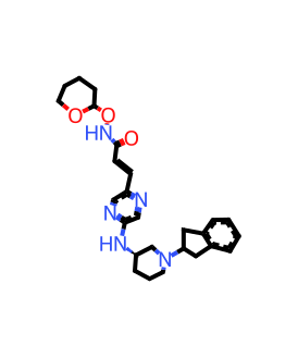 O=C(/C=C/c1cnc(N[C@@H]2CCCN(C3Cc4ccccc4C3)C2)cn1)NOC1CCCCO1